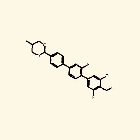 CC1COC(c2ccc(-c3ccc(-c4cc(F)c(CF)c(F)c4)c(F)c3)cc2)OC1